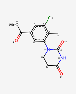 COC(=O)c1cc(Cl)c(C)c(N2CCC(=O)NC2=O)c1